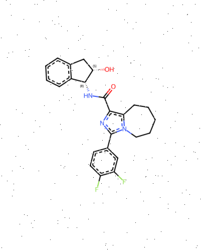 O=C(N[C@@H]1c2ccccc2C[C@@H]1O)c1nc(-c2ccc(F)c(F)c2)n2c1CCCCC2